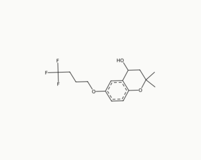 CC1(C)CC(O)c2cc(OCCCC(F)(F)F)ccc2O1